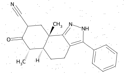 C[C@@H]1C(=O)C(C#N)C[C@]2(C)c3n[nH]c(-c4ccccc4)c3CC[C@@H]12